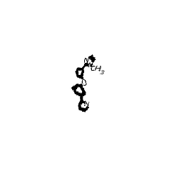 Cn1ccnc1-c1cccc(Oc2cccc(-c3ccccn3)c2)c1